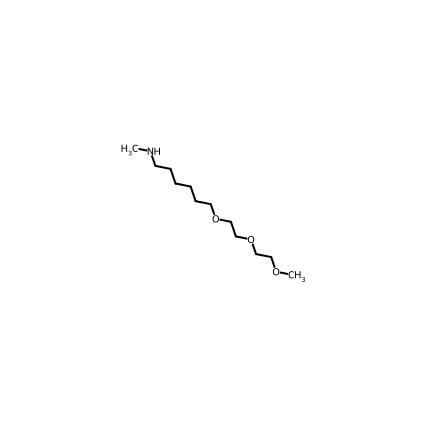 CNCCCCCCOCCOCCOC